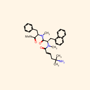 CNC(=O)C(Cc1ccccc1)N(C)C(=O)[C@@H](Cc1cccc2ccccc12)N(C)C(=O)/C=C/CC(C)(C)N